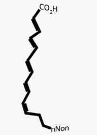 CCCCCCCCCCC\C=C/C=C/C=C/C=C/C=C/C(=O)O